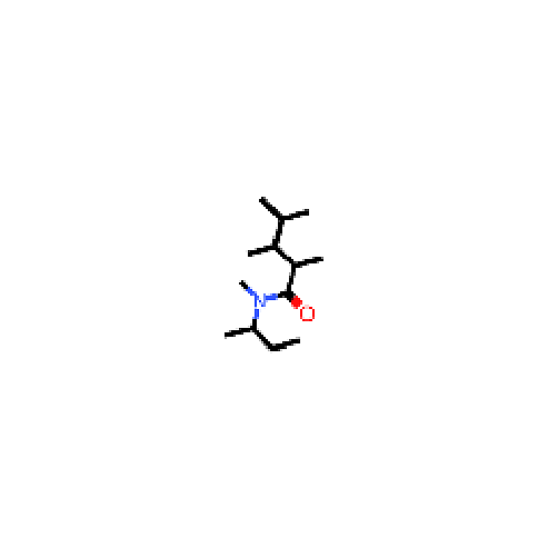 CCC(C)N(C)C(=O)C(C)C(C)C(C)C